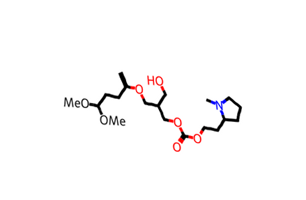 C=C(CCC(OC)OC)OCC(CO)COC(=O)OCCC1CCCN1C